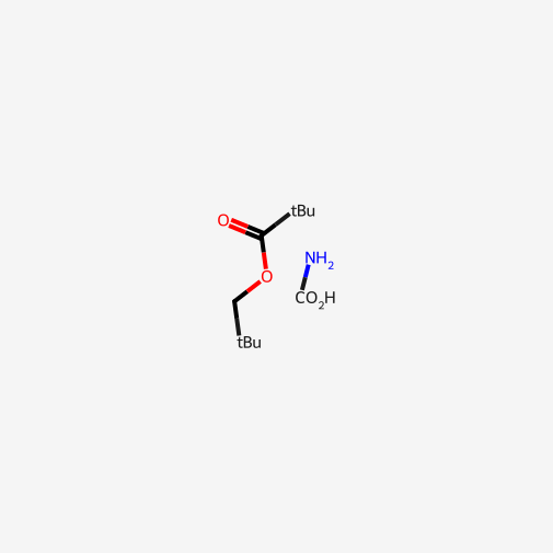 CC(C)(C)COC(=O)C(C)(C)C.NC(=O)O